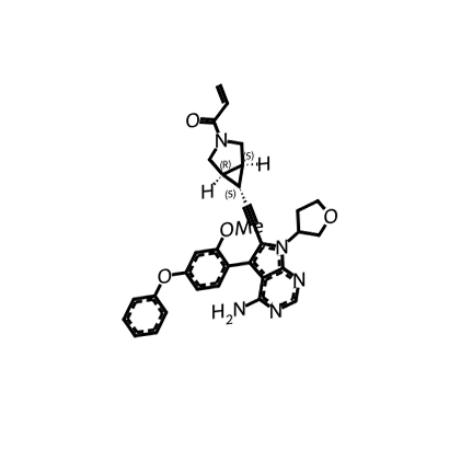 C=CC(=O)N1C[C@@H]2[C@@H](C#Cc3c(-c4ccc(Oc5ccccc5)cc4OC)c4c(N)ncnc4n3C3CCOC3)[C@@H]2C1